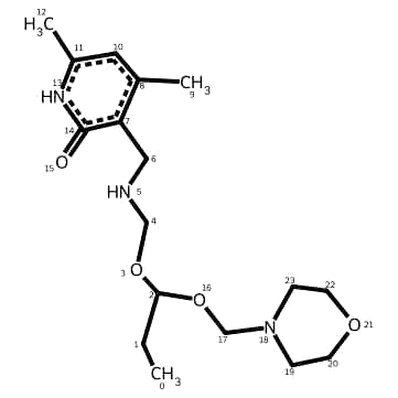 CCC(OCNCc1c(C)cc(C)[nH]c1=O)OCN1CCOCC1